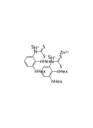 CCCCCCc1cccc([NH+]([S-])C(=S)[S-])c1CCCCCC.CCCCCCc1cccc([NH+]([S-])C(=S)[S-])c1CCCCCC.[Zn+2]